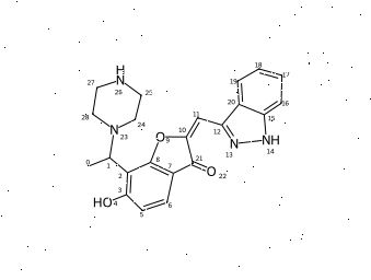 CC(c1c(O)ccc2c1OC(=Cc1n[nH]c3ccccc13)C2=O)N1CCNCC1